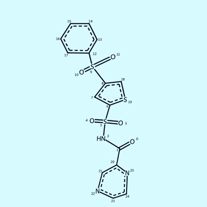 O=C(NS(=O)(=O)c1cc(S(=O)(=O)c2ccccc2)cs1)c1cnccn1